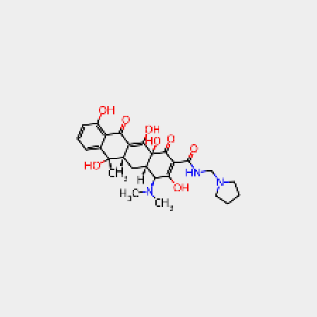 CN(C)[C@@H]1C(O)=C(C(=O)NCN2CCCC2)C(=O)[C@@]2(O)C(O)=C3C(=O)c4c(O)cccc4[C@@](C)(O)[C@H]3C[C@@H]12